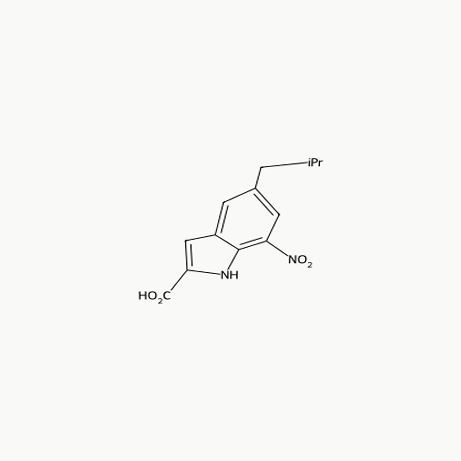 CC(C)Cc1cc([N+](=O)[O-])c2[nH]c(C(=O)O)cc2c1